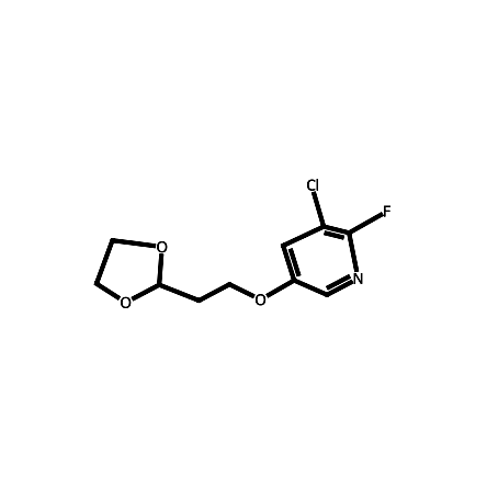 Fc1ncc(OCCC2OCCO2)cc1Cl